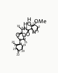 COc1ccnc(C(=O)NC(C)C(=O)OC(C)C(C)c2ccc(C)cc2C)c1O